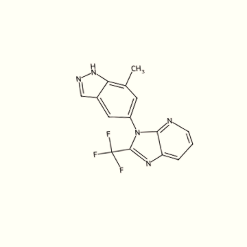 Cc1cc(-n2c(C(F)(F)F)nc3cccnc32)cc2cn[nH]c12